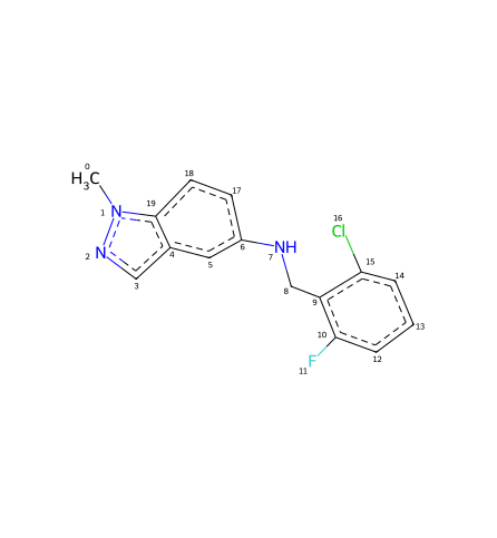 Cn1ncc2cc(NCc3c(F)cccc3Cl)ccc21